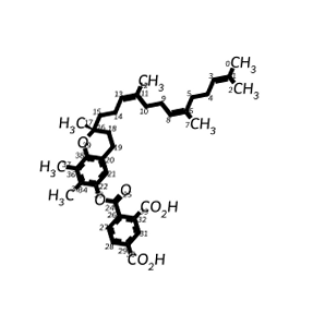 CC(C)=CCCC(C)=CCCC(C)=CCC[C@]1(C)CCc2cc(OC(=O)c3ccc(C(=O)O)cc3C(=O)O)c(C)c(C)c2O1